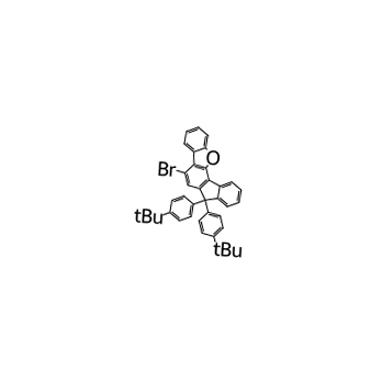 CC(C)(C)c1ccc(C2(c3ccc(C(C)(C)C)cc3)c3ccccc3-c3c2cc(Br)c2c3oc3ccccc32)cc1